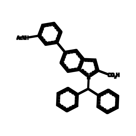 CC(=O)Nc1cccc(-c2ccc3c(c2)cc(C(=O)O)n3C(c2ccccc2)c2ccccc2)c1